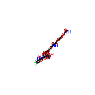 CC(=O)NCCOCCOCCOCCOCCC(=O)NCCOCCOCCO[C@]1(C(=O)O)C[C@H](O)[C@@H](NC(C)=O)[C@H]([C@H](O)[C@H](O)CNC(=O)Cc2ccc(Cl)cc2)O1